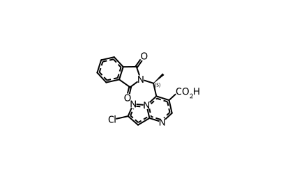 C[C@@H](c1c(C(=O)O)cnc2cc(Cl)nn12)N1C(=O)c2ccccc2C1=O